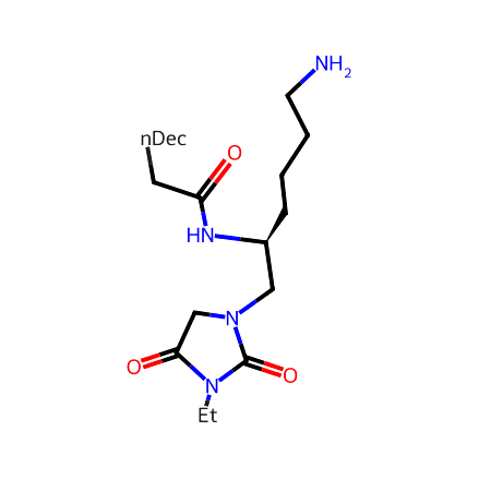 CCCCCCCCCCCC(=O)N[C@@H](CCCCN)CN1CC(=O)N(CC)C1=O